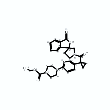 CCOC(=O)N1CCN(c2ccc(C3(C(=O)N4CCC5(C4)OC(=O)c4ccccc45)CC3)cn2)CC1